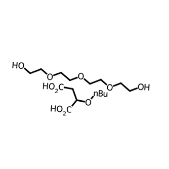 CCCCOC(CC(=O)O)C(=O)O.OCCOCCOCCOCCO